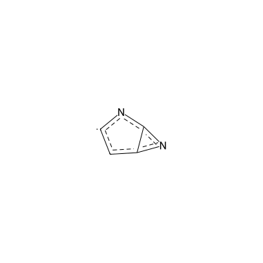 [c]1cc2nc-2n1